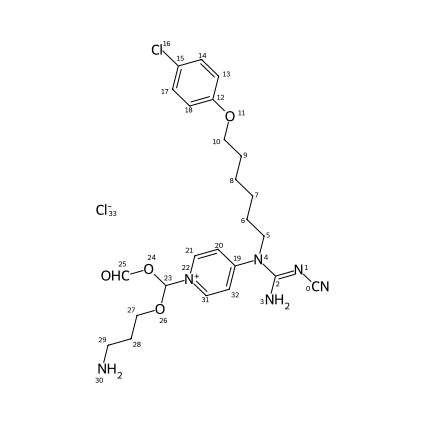 N#CN=C(N)N(CCCCCCOc1ccc(Cl)cc1)c1cc[n+](C(OC=O)OCCCN)cc1.[Cl-]